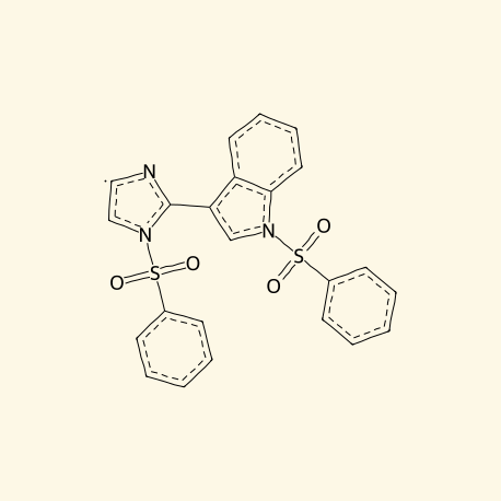 O=S(=O)(c1ccccc1)n1c[c]nc1-c1cn(S(=O)(=O)c2ccccc2)c2ccccc12